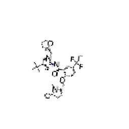 CN1C(=O)CC[C@H]1COc1ccc(C(F)(F)F)cc1C(=O)/N=c1\sc(C(C)(C)C)cn1C[C@H]1CCCO1